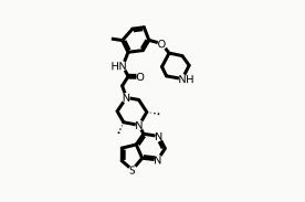 Cc1ccc(OC2CCNCC2)cc1NC(=O)CN1C[C@@H](C)N(c2ncnc3sccc23)[C@@H](C)C1